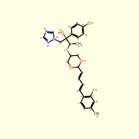 C[C@@H](SC1COC(C=CC=Cc2ccc(C#N)cc2F)OC1)[C@](O)(Cn1cncn1)c1ccc(Cl)cc1